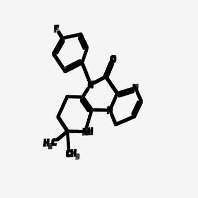 CC1(C)CCC2=C(N1)N1CC=CN=C1C(=O)N2c1ccc(F)cc1